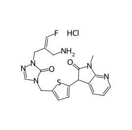 CN1C(=O)C(c2ccc(Cn3cnn(C/C(=C/F)CN)c3=O)s2)c2cccnc21.Cl